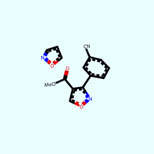 COC(=O)c1conc1-c1cccc(C#N)c1.c1cnoc1